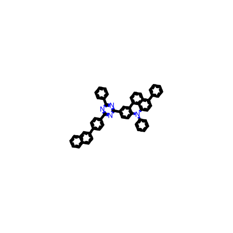 c1ccc(-c2nc(-c3ccc(-c4ccc5ccccc5c4)cc3)nc(-c3ccc4c(c3)-c3cccc5c(-c6ccccc6)ccc(c35)N4c3ccccc3)n2)cc1